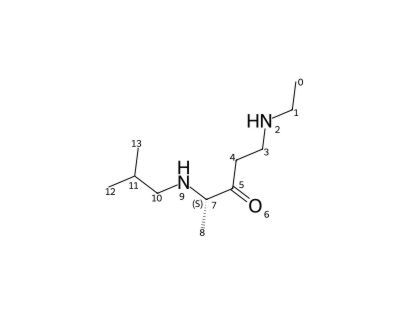 CCNCCC(=O)[C@H](C)NCC(C)C